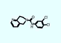 O=C(Nc1ccc(Cl)c(Cl)c1)N1CCc2ncccc2C1